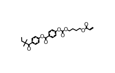 C=CC(=O)OCCCCOC(=O)Oc1ccc(C(=O)Oc2ccc(C(=O)C(C)(C)CC)cc2)cc1